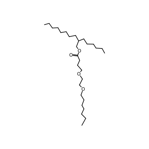 CCCCCCCCC(CCCCCC)COC(=O)CCCOCCOCCCCCCC